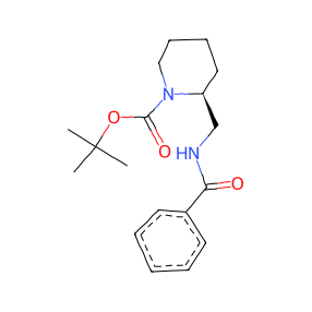 CC(C)(C)OC(=O)N1CCCC[C@H]1CNC(=O)c1ccccc1